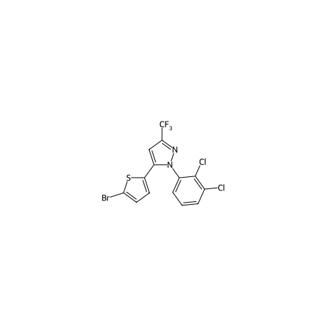 FC(F)(F)c1cc(-c2ccc(Br)s2)n(-c2cccc(Cl)c2Cl)n1